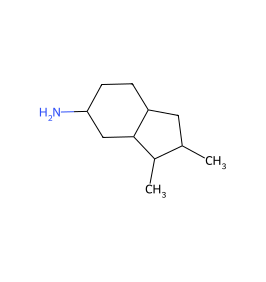 CC1CC2CCC(N)CC2C1C